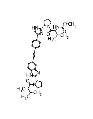 COC(=O)N[C@H](C(=O)N1CCC[C@H]1c1nc(-c2ccc(C#Cc3ccc4[nH]c([C@@H]5CCCN5C(=O)[C@@H](C)C(C)C)nc4c3)cc2)c[nH]1)C(C)C